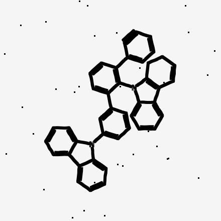 c1cccc(-c2cccc(-c3cccc(-n4c5ccccc5c5ccccc54)c3)c2-n2c3c(c4ccccc42)C=CCC3)c#1